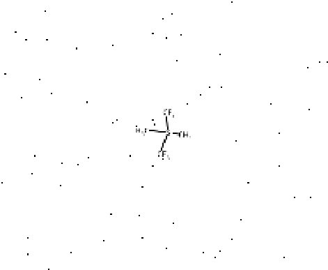 C[Si](C)(C(F)(F)F)C(F)(F)F